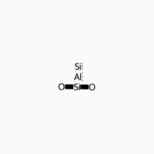 O=[Si]=O.[Al].[Si]